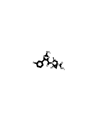 [CH2][C@H]1C[C@@]2(C(N)=O)C[C@@H]2N1C(=O)c1nc(N)sc1-c1cccc(F)c1